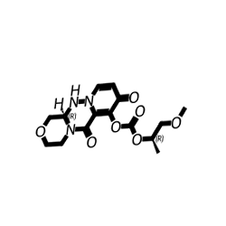 COC[C@@H](C)OC(=O)Oc1c2n(ccc1=O)N[C@@H]1COCCN1C2=O